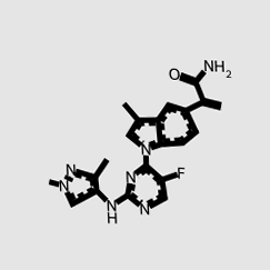 C=C(C(N)=O)c1ccc2c(c1)c(C)cn2-c1nc(Nc2cn(C)nc2C)ncc1F